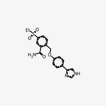 CCS(=O)(=O)c1ccc(COc2ccc(-c3c[nH]cn3)cc2)c(C(N)=O)c1